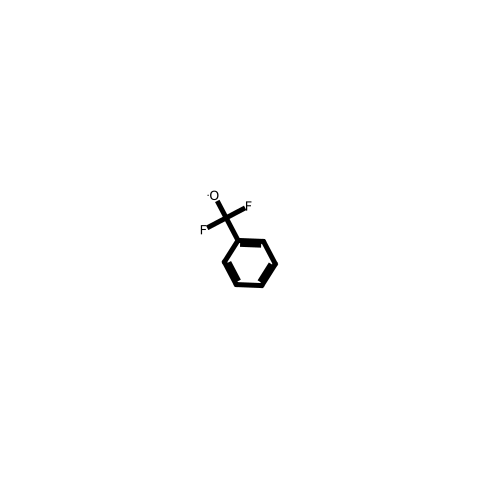 [O]C(F)(F)c1ccccc1